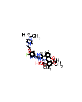 COCc1ccccc1C(c1cc(OC)ccc1OC)N(C(=O)O)c1ccnc(Nc2ccc(OCCN3CCN(C(C)C)CC3)c(F)c2)n1